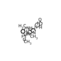 COCC(F)(F)c1cccc([C@@H](C)Nc2nnc(C)c3ncc(N4CCN5C(=O)CC[C@@H]5C4)cc23)c1